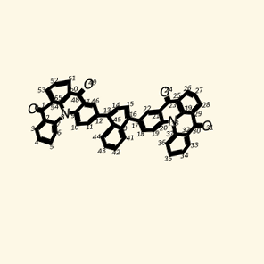 O=c1c2ccccc2n2c3ccc(-c4ccc(-c5ccc6c(c5)c(=O)c5cccc7c(=O)c8ccccc8n6c75)c5ccccc45)cc3c(=O)c3cccc1c32